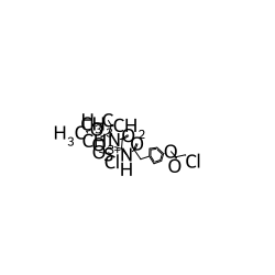 C=C(C)C(C(=O)OC(C)(C)C)N1C(=O)C(NC(=O)Cc2ccc(OC(=O)CCl)cc2)C1[S+]([O-])Cl